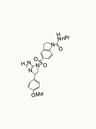 CCCNC(=O)N1CCc2cc(S(=O)(=O)N3CC(c4ccc(OC)cc4)N=C3N)ccc21